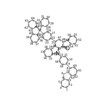 c1ccc2c(c1)Cc1c(-c3ccc(-n4c5ccccc5c5c(-c6ccc7c(c6)-c6ccccc6C76c7ccccc7-c7ccccc76)cc6c7ccccc7oc6c54)cc3)cccc1-2